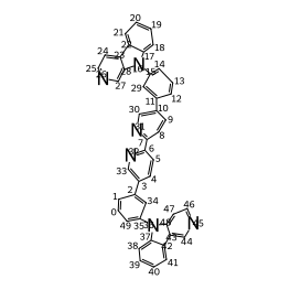 c1cc(-c2ccc(-c3ccc(-c4cccc(-n5c6ccccc6c6ccncc65)c4)cn3)nc2)cc(-n2c3ccccc3c3cnccc32)c1